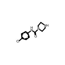 O=C(Nc1ccc(Cl)cc1)N1CCNCC1